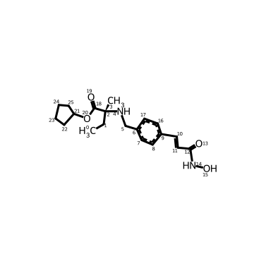 CC[C@@](C)(NCc1ccc(/C=C/C(=O)NO)cc1)C(=O)OC1CCCC1